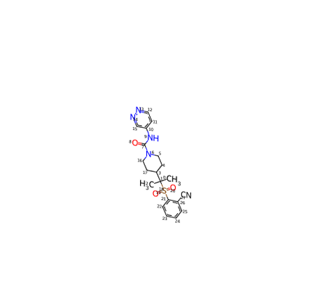 CC(C)(C1CCN(C(=O)Nc2ccnnc2)CC1)S(=O)(=O)c1ccccc1C#N